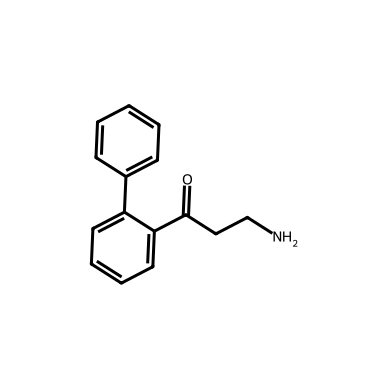 NCCC(=O)c1ccccc1-c1ccccc1